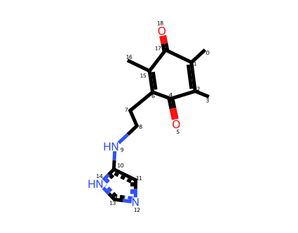 CC1=C(C)C(=O)C(CCNc2cnc[nH]2)=C(C)C1=O